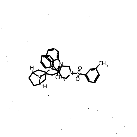 Cc1cccc(S(=O)(=O)N2CCC(CCN3[C@@H]4CC[C@H]3C[C@@H](n3c(C)nc5ccccc53)C4)(c3ccccc3)CC2)c1